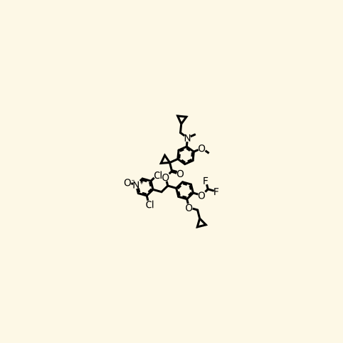 COc1ccc(C2(C(=O)OC(Cc3c(Cl)c[n+]([O-])cc3Cl)c3ccc(OC(F)F)c(OCC4CC4)c3)CC2)cc1N(C)CC1CC1